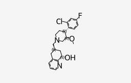 CO[C@H]1CN(C[C@@H]2Cc3cccnc3[C@@H](O)C2)CC[C@@H]1c1ccc(F)cc1Cl